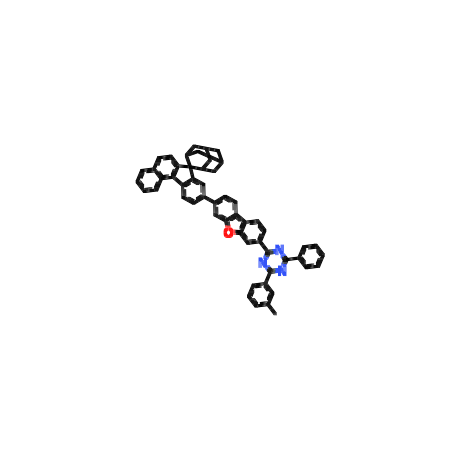 Cc1cccc(-c2nc(-c3ccccc3)nc(-c3ccc4c(c3)oc3cc(-c5ccc6c(c5)C5(c7ccc8ccccc8c7-6)C6CC7CC(C6)CC5C7)ccc34)n2)c1